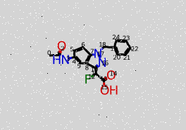 CC(=O)Nc1ccc2c(c1)c(C(F)C(=O)O)nn2Cc1ccccc1